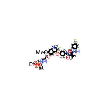 CCOP(=O)(CNCCCOc1cc2c(Oc3ccc(NC(=O)C4(C(=O)Nc5ccc(F)cc5)CC4)cc3F)ccnc2cc1OC)OCC